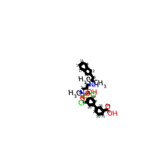 CN(C[C@H](O)CNC(C)(C)CC1Cc2ccccc2C1)S(=O)(=O)c1c(Cl)cc(-c2cccc(C(=O)O)c2)cc1Cl